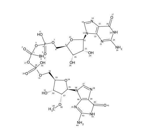 BP(=O)(OP(=O)(O)OC[C@H]1O[C@@H](n2cnc3c(=O)[nH]c(N)nc32)[C@H](O)[C@@H]1O)OP(=O)(O)OC[C@H]1O[C@@H](n2cnc3c(=O)[nH]c(N)nc32)[C@H](OC)[C@@H]1O